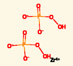 O=P([O-])([O-])OO.O=P([O-])([O-])OO.[Zr+4]